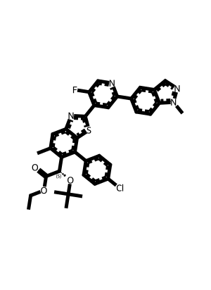 CCOC(=O)[C@@H](OC(C)(C)C)c1c(C)cc2nc(-c3cc(-c4ccc5c(cnn5C)c4)ncc3F)sc2c1-c1ccc(Cl)cc1